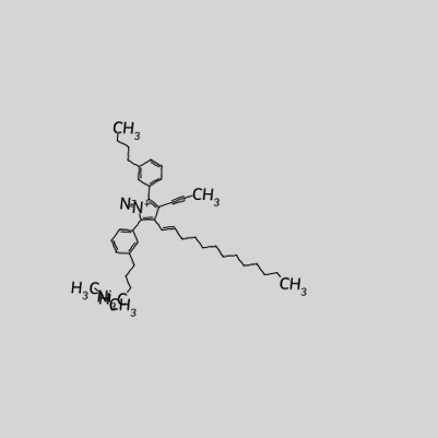 CC#CC1=C(c2cccc(CCCC)c2)[N+](=[N-])C(c2cccc(CCCC)c2)=C1C=CCCCCCCCCCCC.[CH3][Ni][CH3]